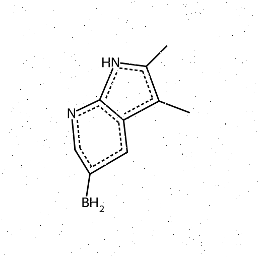 Bc1cnc2[nH]c(C)c(C)c2c1